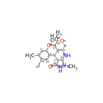 Cc1ccc(C2C3=C(COC(C)(C)C3=O)Nc3c2c(=O)[nH]n3C)cc1I